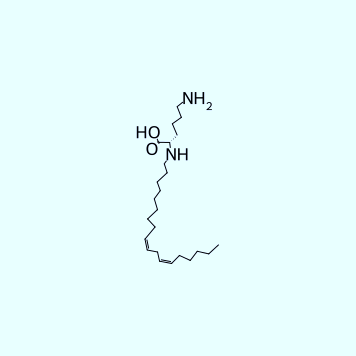 CCCCC/C=C\C/C=C\CCCCCCCCN[C@@H](CCCCN)C(=O)O